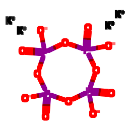 O=P1([O-])OP(=O)([O-])OP(=O)([O-])OP(=O)([O-])O1.[K+].[K+].[K+].[K+]